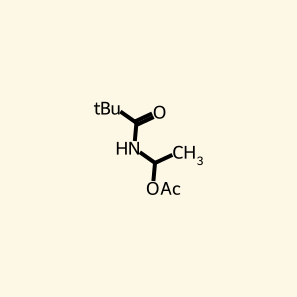 CC(=O)OC(C)NC(=O)C(C)(C)C